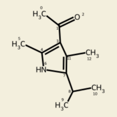 CC(=O)c1c(C)[nH]c(C(C)C)c1C